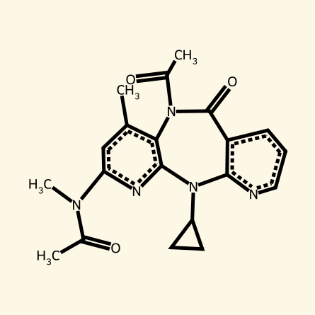 CC(=O)N(C)c1cc(C)c2c(n1)N(C1CC1)c1ncccc1C(=O)N2C(C)=O